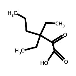 CCCC(CC)(CC)C(=O)C(=O)O